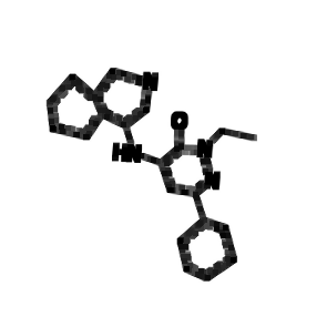 CCn1nc(-c2ccccc2)cc(Nc2cncc3ccccc23)c1=O